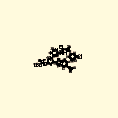 CC(C)(C)[Si](C)(C)OC1C[C@H](c2cn3cc(C4CC4)ccc3n2)N(c2cc(NC(=O)[C@H]3C[C@@H]3c3cccc(Cl)c3)ncn2)C1